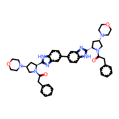 O=C(Cc1ccccc1)N1C[C@@H](N2CCOCC2)C[C@H]1c1nc2cc(-c3ccc4[nH]c([C@@H]5C[C@H](N6CCOCC6)CN5C(=O)Cc5ccccc5)nc4c3)ccc2[nH]1